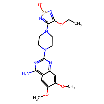 CCOc1n[s+]([O-])nc1N1CCN(c2nc(N)c3cc(OC)c(OC)cc3n2)CC1